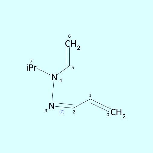 C=C/C=N\N(C=C)C(C)C